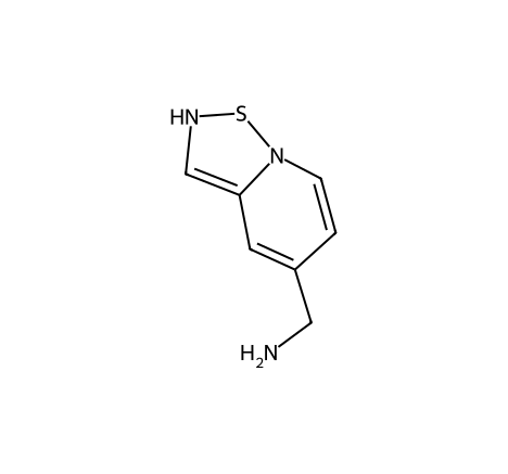 NCC1=CC2=CNSN2C=C1